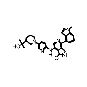 Cn1ccc2c(-c3ncc(Nc4ccc(N5CCCC(C(C)(C)O)C5)cn4)c4c3CNC4=O)cccc21